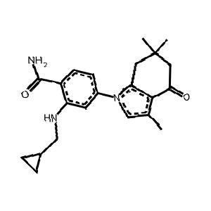 Cc1cn(-c2ccc(C(N)=O)c(NCC3CC3)c2)c2c1C(=O)CC(C)(C)C2